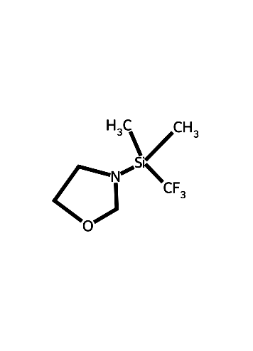 C[Si](C)(N1CCOC1)C(F)(F)F